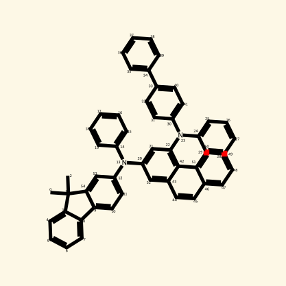 CC1(C)c2ccccc2-c2ccc(N(c3ccccc3)c3cc(N(c4ccccc4)c4ccc(-c5ccccc5)cc4)c4c(ccc5ccccc54)c3)cc21